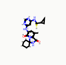 Cc1cc(Nc2cc(NC(=S)C3CC3)ncn2)c(=O)n2c1C(=O)NC21CCCCC1